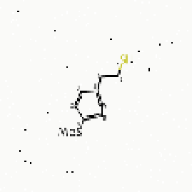 CSc1ccc(CCS)cc1